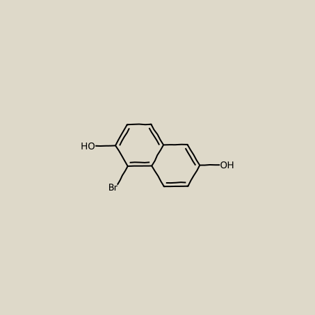 Oc1ccc2c(Br)c(O)ccc2c1